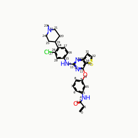 C=CC(=O)Nc1cccc(Oc2nc(Nc3ccc(C4CCN(C)CC4)c(Cl)c3)nc3ccsc23)c1